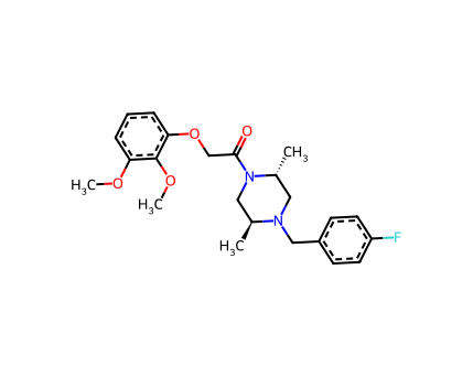 COc1cccc(OCC(=O)N2C[C@H](C)N(Cc3ccc(F)cc3)C[C@H]2C)c1OC